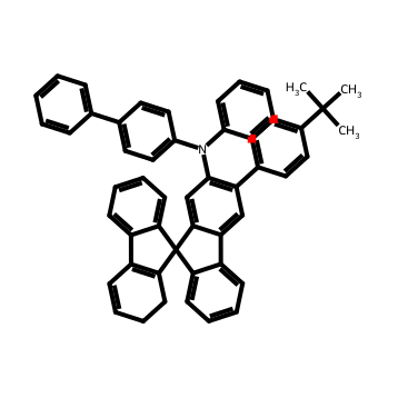 CC(C)(C)c1ccc(-c2cc3c(cc2N(c2ccccc2)c2ccc(-c4ccccc4)cc2)C2(C4=C(C=CCC4)c4ccccc42)c2ccccc2-3)cc1